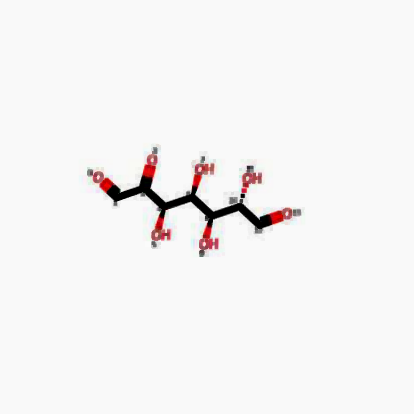 O=[C]C(=O)[C@H](O)[C@@H](O)[C@H](O)[C@H](O)[C]=O